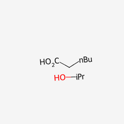 CC(C)O.CCCCCC(=O)O